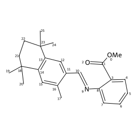 COC(=O)c1ccccc1N=Cc1cc2c(cc1C)C(C)(C)CCC2(C)C